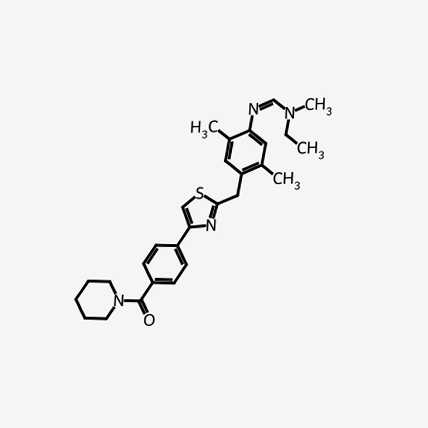 CCN(C)/C=N\c1cc(C)c(Cc2nc(-c3ccc(C(=O)N4CCCCC4)cc3)cs2)cc1C